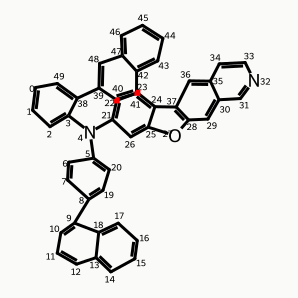 c1ccc(N(c2ccc(-c3cccc4ccccc34)cc2)c2ccc3c(c2)oc2cc4cnccc4cc23)c(-c2ccc3ccccc3c2)c1